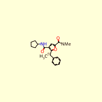 CNC(=O)c1cc(C(=O)NC2CCCC2)c([C@@H](C)c2ccccc2)o1